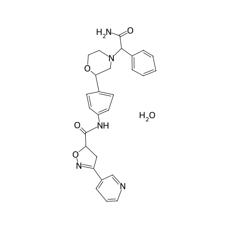 NC(=O)C(c1ccccc1)N1CCOC(c2ccc(NC(=O)C3CC(c4cccnc4)=NO3)cc2)C1.O